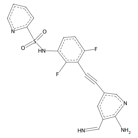 N=Cc1cc(C#Cc2c(F)ccc(NS(=O)(=O)c3ccccn3)c2F)cnc1N